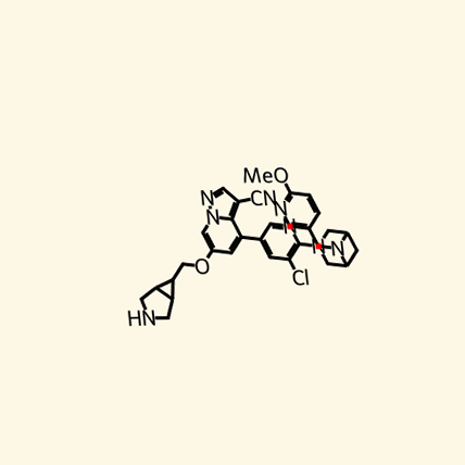 COc1ccc(CN2C3CC2CN(c2ncc(-c4cc(OCC5C6CNCC65)cn5ncc(C#N)c45)cc2Cl)C3)cn1